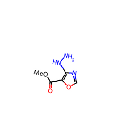 COC(=O)c1ocnc1NN